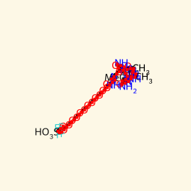 CCn1nc(C)cc1C(=O)Nc1nc2cc(C(N)=O)cc(OC)c2n1C/C=C/Cn1c(NC(=O)c2cc(C)nn2CC)nc2cc(C(N)=O)cc(OCCCN3CCN(CCNC(=O)OCCOCCOCCOCCOCCOCCOCCOCCOCCOCCOCCC(=O)Oc4c(F)c(F)c(S(=O)(=O)O)c(F)c4F)CC3)c21